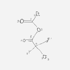 CCC(=O)OC(=O)C(F)(I)C(F)(F)F